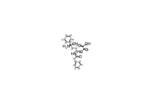 C[C@H](CNC(=O)Cc1ccccc1)C[C@@](N)(O)c1ccccc1.O=C(O)C(=O)O